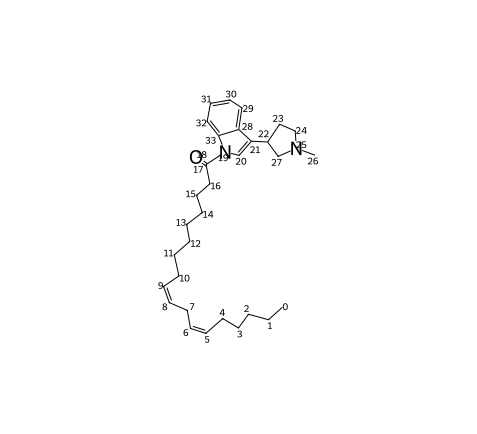 CCCCC/C=C\C/C=C\CCCCCCCC(=O)n1cc(C2CCN(C)C2)c2ccccc21